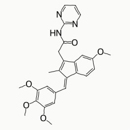 COc1ccc2c(c1)C(CC(=O)Nc1ncccn1)=C(C)C2=Cc1cc(OC)c(OC)c(OC)c1